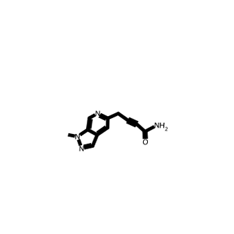 Cn1ncc2cc(CC#CC(N)=O)ncc21